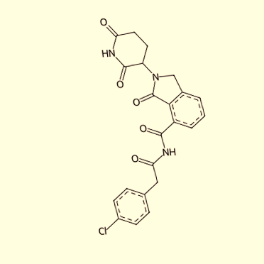 O=C(Cc1ccc(Cl)cc1)NC(=O)c1cccc2c1C(=O)N(C1CCC(=O)NC1=O)C2